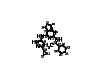 C[C@H](Nc1nc(Nc2cc(C3CC3)n[nH]2)c2cccn2n1)c1ccccc1